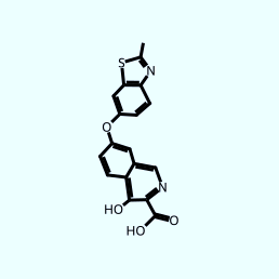 Cc1nc2ccc(Oc3ccc4c(O)c(C(=O)O)ncc4c3)cc2s1